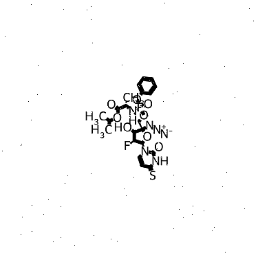 CC(C)OC(=O)[C@H](C)NP(=O)(OC[C@@]1(N=[N+]=[N-])O[C@@H](n2ccc(=S)[nH]c2=O)[C@@H](F)C1O)Oc1ccccc1